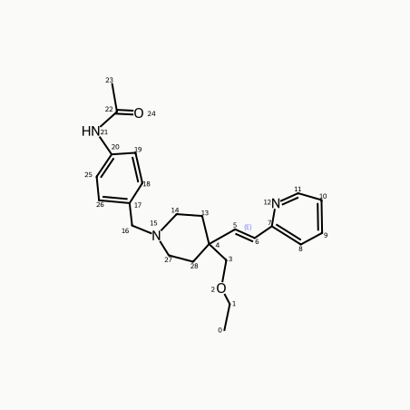 CCOCC1(/C=C/c2ccccn2)CCN(Cc2ccc(NC(C)=O)cc2)CC1